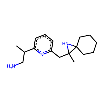 CC(CN)c1cccc(CC2(C)NC23CCCCC3)n1